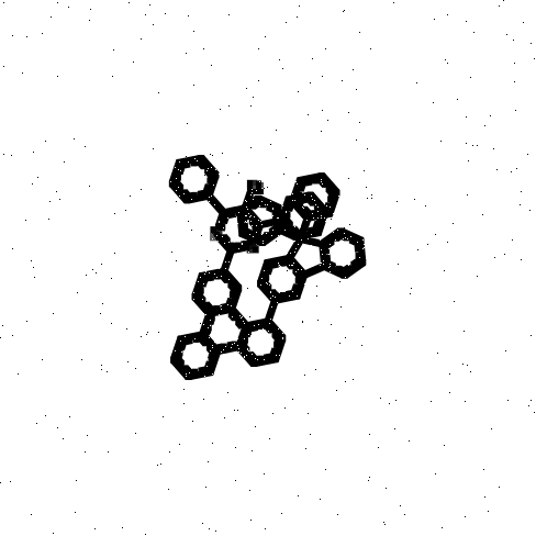 CCc1c(-c2ccccc2)nc(-c2ccc3c4ccccc4c4cccc(-c5ccc6c(c5)-c5ccccc5C6(c5ccccc5)c5ccccc5)c4c3c2)nc1-c1ccccc1